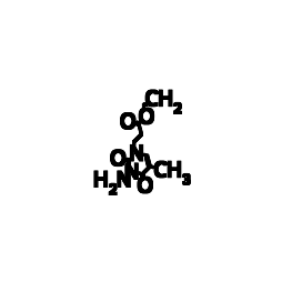 C=COC(=O)CCn1cc(C)c(=O)n(N)c1=O